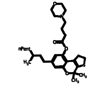 CCCCCC(C)CCc1cc(OC(=O)CCCN2CCOCC2)c2c(c1)OC(C)(C)C1=C2CCS1